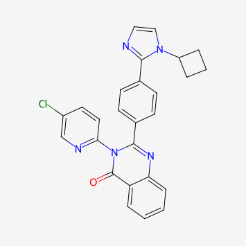 O=c1c2ccccc2nc(-c2ccc(-c3nccn3C3CCC3)cc2)n1-c1ccc(Cl)cn1